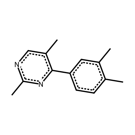 Cc1ncc(C)c(-c2ccc(C)c(C)c2)n1